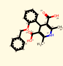 CC1=C(C(=O)O)C(c2ccccc2OCc2ccccc2)C(C(=O)O)=C(C)N1